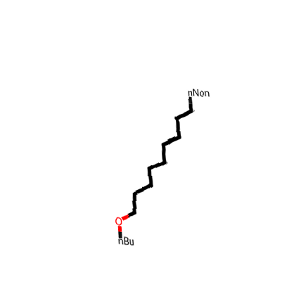 CCCCCCCCC[CH]CCCCCCCCOCCCC